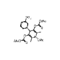 COC(=O)OC1=C(C)N(OC(C)=O)C(C)=C(OC(=O)OC)C1c1cccc([N+](=O)[O-])c1